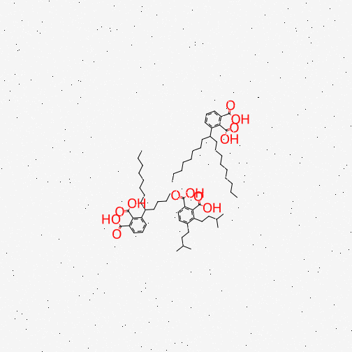 CC(C)CCc1ccc(C(=O)O)c(C(=O)O)c1CCC(C)C.CCCCCCCCC(CCCC)c1cccc(C(=O)O)c1C(=O)O.CCCCCCCCCC(CCCCCCCC)c1cccc(C(=O)O)c1C(=O)O